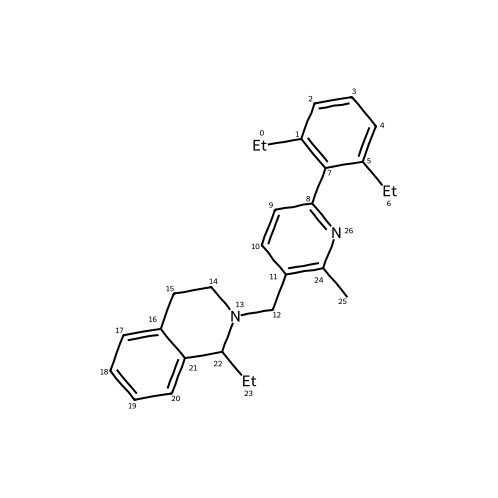 CCc1cccc(CC)c1-c1ccc(CN2CCc3ccccc3C2CC)c(C)n1